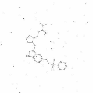 CN(C)C(=O)CCN1CCC[C@@H]1Cc1c[nH]c2ccc(CCS(=O)(=O)c3ccccc3)cc12